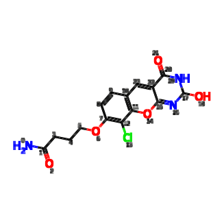 NC(=O)CCCOc1ccc2c(c1Cl)OC1=NC(O)NC(=O)C1=C2